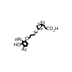 CCCc1c(OCCCSC[C@@H]2CS[C@](CC)(CCC(=O)O)S2)ccc(C(C)=O)c1O